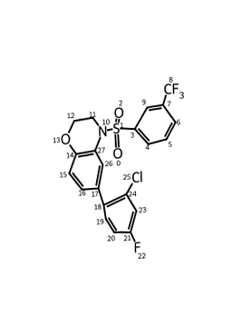 O=S(=O)(c1cccc(C(F)(F)F)c1)N1CCOc2ccc(-c3ccc(F)cc3Cl)cc21